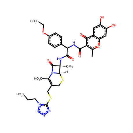 CO[C@@]1(NC(=O)C(NC(=O)c2c(C)oc3cc(O)c(O)cc3c2=O)c2ccc(OCC(=O)O)cc2)C(=O)N2C(C(=O)O)=C(CSc3nnnn3CCS(=O)(=O)O)CS[C@@H]21